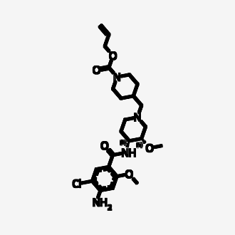 C=CCOC(=O)N1CCC(CN2CC[C@@H](NC(=O)c3cc(Cl)c(N)cc3OC)[C@@H](OC)C2)CC1